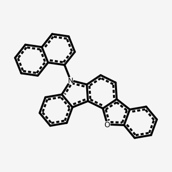 c1ccc2c(-n3c4ccccc4c4c5oc6ccccc6c5ccc43)cccc2c1